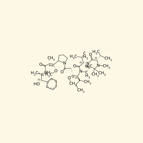 CCC(C)[C@@H]([C@@H](CC(=O)N1CCCC1[C@H](OC)[C@@H](C)C(=O)N[C@H](C)[C@@H](O)c1ccccc1)OC)N(C)C(=O)[C@@H](NC(=O)[C@H](C(C)C)N(C)C(C)(C)C)C(C)C